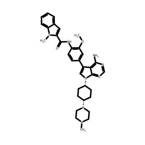 COc1cc(-c2cn([C@H]3CC[C@@H](N4CCN(C)CC4)CC3)c3ncnc(N)c23)ccc1NC(=O)c1cc2ccccc2n1C